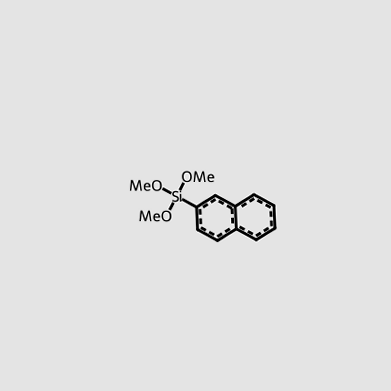 CO[Si](OC)(OC)c1ccc2ccccc2c1